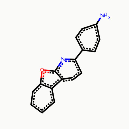 Nc1ccc(-c2ccc3c(n2)oc2ccccc23)cc1